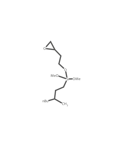 CCCCC(C)CC[Si](OC)(OC)OCCC1CO1